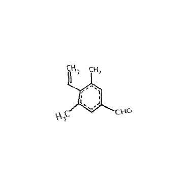 C=Cc1c(C)cc(C=O)cc1C